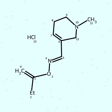 C=C(CC)ON=CC1=CCCN(C)C1.Cl